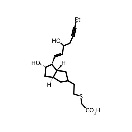 CCC#CCC(O)C=C[C@H]1[C@@H]2CC(CCSCC(=O)O)C[C@H]2C[C@@H]1O